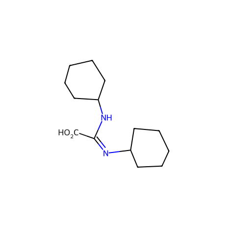 O=C(O)C(=NC1CCCCC1)NC1CCCCC1